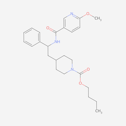 CCCCOC(=O)N1CCC(CC(NC(=O)c2ccc(OC)nc2)c2ccccc2)CC1